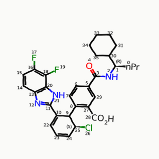 CCC[C@@H](NC(=O)c1ccc(C2C(c3nc4ccc(F)c(F)c4[nH]3)=CC=C[C@@H]2Cl)c(C(=O)O)c1)C1CCCCC1